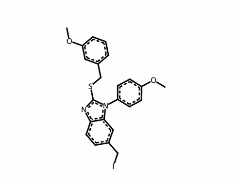 COc1ccc(-n2c(SCc3cccc(OC)c3)nc3ccc(CI)cc32)cc1